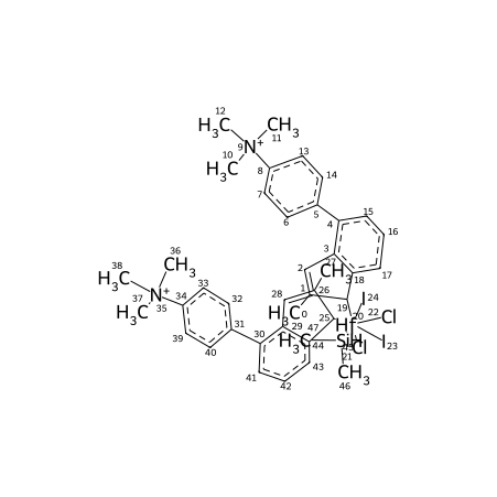 CC1=Cc2c(-c3ccc([N+](C)(C)C)cc3)cccc2[CH]1[Hf]([Cl])([Cl])([I])([I])([CH]1C(C)=Cc2c(-c3ccc([N+](C)(C)C)cc3)cccc21)[SiH](C)C